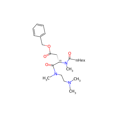 CCCCCCC(=O)N(C)[C@@H](CC(=O)OCc1ccccc1)C(=O)N(C)CCN(C)C